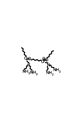 CCCCCCOP(CCN(CCCN)CCCN)OCCCCCCOP(=O)(CCN(CCCN)CCCN)OCCCCCC